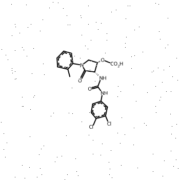 Cc1ccccc1N1C[C@H](OC(=O)O)[C@H](NC(=O)Nc2ccc(Cl)c(Cl)c2)C1=O